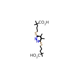 Cc1c(SCCCC(C)(C)C(=O)O)nnc(SCCCC(C)(C)C(=O)O)c1C